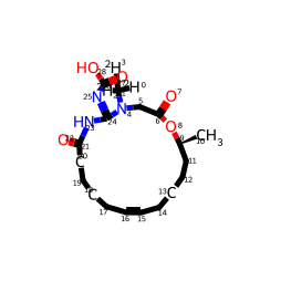 [2H]C([2H])([2H])N1CC(=O)O[C@@H](C)CCCCC=CCCCCC(=O)NC1=NC(=O)O